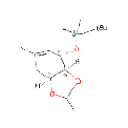 CC1=C[C@H](O[Si](C)(C)C(C)(C)C)[C@H]2OC(C)O[C@H]2C1